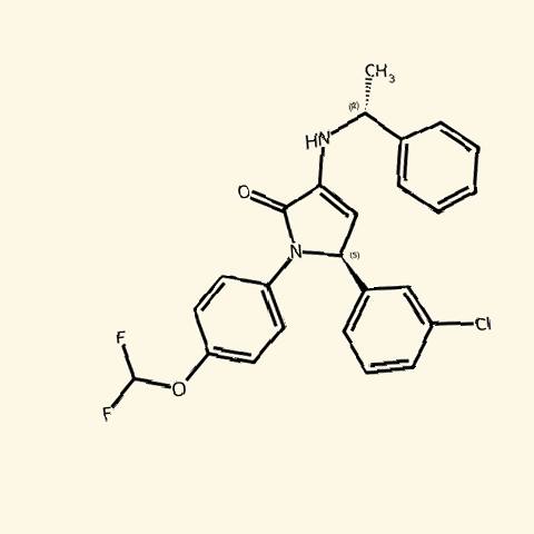 C[C@@H](NC1=C[C@@H](c2cccc(Cl)c2)N(c2ccc(OC(F)F)cc2)C1=O)c1ccccc1